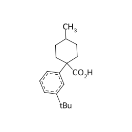 CC1CCC(C(=O)O)(c2cccc(C(C)(C)C)c2)CC1